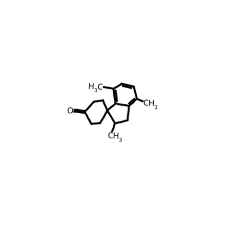 Cc1ccc(C)c2c1CC(C)C21CCC(=O)CC1